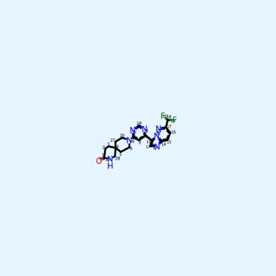 O=C1CCC2(CCN(c3cc(-c4cnc5ccc(C(F)F)nn45)ncn3)CC2)CN1